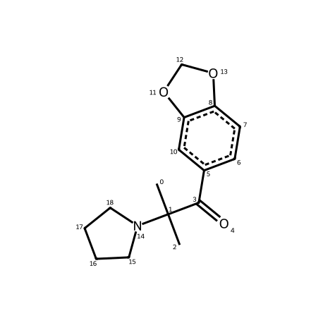 CC(C)(C(=O)c1ccc2c(c1)OCO2)N1CCCC1